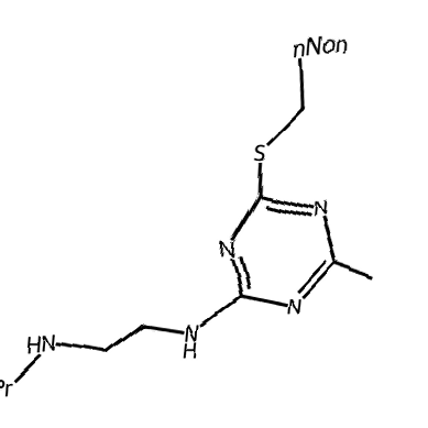 CCCCCCCCCCSc1nc(C)nc(NCCNC(C)C)n1